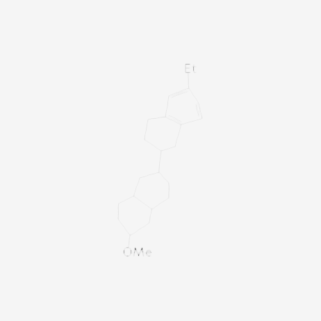 CCc1ccc2c(c1)CCC(C1CCC3CC(OC)CCC3C1)C2